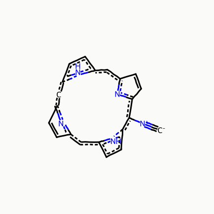 [C-]#[N+]c1c2nc(cc3ccc(cc4nc(cc5ccc1[nH]5)C=C4)[nH]3)C=C2